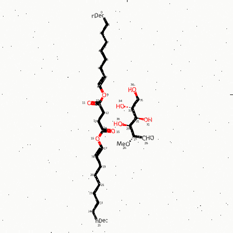 CCCCCCCCCCCCCCCC/C=C/OC(=O)CCC(=O)O/C=C/CCCCCCCCCCCCCCCC.CO[C@@H](C=O)[C@@H](O)[C@H](O)[C@H](O)CO